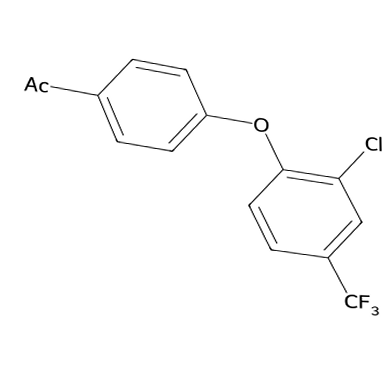 CC(=O)c1ccc(Oc2ccc(C(F)(F)F)cc2Cl)cc1